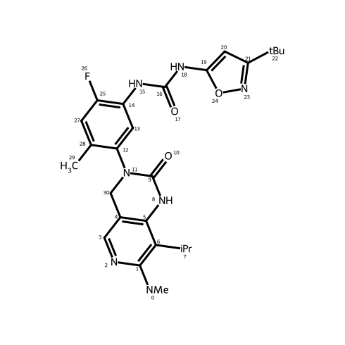 CNc1ncc2c(c1C(C)C)NC(=O)N(c1cc(NC(=O)Nc3cc(C(C)(C)C)no3)c(F)cc1C)C2